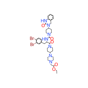 CCOC(=O)CN1CCN(C2CCN(C(=O)C(Cc3ccc(Br)c(Br)c3)NC(=O)N3CCC(N4Cc5ccccc5NC4=O)CC3)CC2)CC1